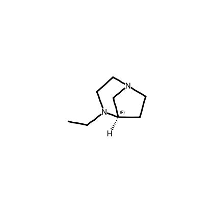 CCN1CCN2CC[C@@H]1C2